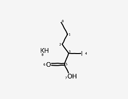 CCCC(I)C(=O)O.[KH]